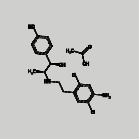 CC(=O)O.C[C@H](NCCc1cc(Cl)c(N)cc1Cl)[C@H](O)c1ccc(O)cc1